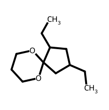 CCC1CC(CC)C2(C1)OCCCO2